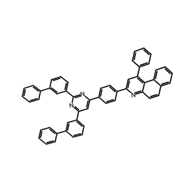 c1ccc(-c2cccc(-c3cc(-c4ccc(-c5cc(-c6ccccc6)c6c(ccc7ccccc76)n5)cc4)nc(-c4cccc(-c5ccccc5)c4)n3)c2)cc1